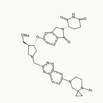 COC[C@@H]1CN(Cc2cc3ccc(N4CCN(C(C)=O)C5(CC5)C4)cc3cn2)C[C@H]1Oc1ccc2c(c1)CN([C@H]1CCC(=O)NC1=O)C2=O